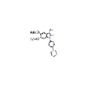 COc1cc2c(C(C)=O)c(C)n(-c3ccc(N4CC[CH]CC4)cc3)c2cc1OC